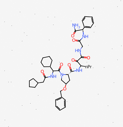 CCCC(NC(=O)[C@@H]1C[C@@H](OCc2ccccc2)CN1C(=O)C(NC(=O)CC1CCCC1)C1CCCCC1)C(=O)C(=O)NCC(=O)N[C@@H](C(N)=O)c1ccccc1